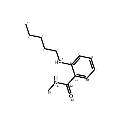 CCCCCPc1ccccc1C(=O)NC